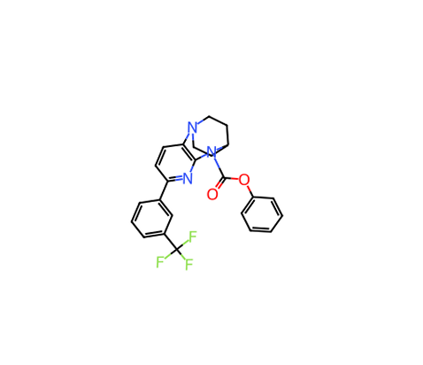 O=C(Oc1ccccc1)N1c2nc(-c3cccc(C(F)(F)F)c3)ccc2N2CCC1CC2